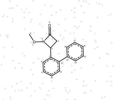 CON1C(=O)CC1c1ccccc1-c1ccccc1